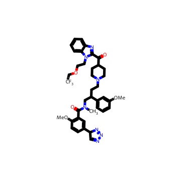 COc1cccc(C(CCN2CCC(C(=O)c3nc4ccccc4n3CCOCC(F)(F)F)CC2)CN(C)C(=O)c2cc(C3C=NN=N3)ccc2OC)c1